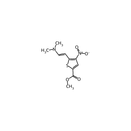 COC(=O)c1cc([N+](=O)[O-])c(/C=C/N(C)C)s1